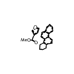 COC(=O)c1ccoc1.c1ccc2c(c1)ccc1c3c(ccc12)CCCC3